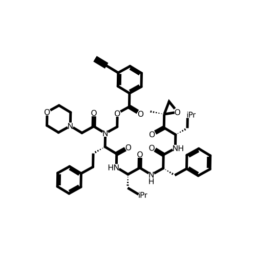 C#Cc1cccc(C(=O)OCN(C(=O)CN2CCOCC2)[C@@H](CCc2ccccc2)C(=O)N[C@@H](CC(C)C)C(=O)N[C@@H](Cc2ccccc2)C(=O)N[C@@H](CC(C)C)C(=O)[C@@]2(C)CO2)c1